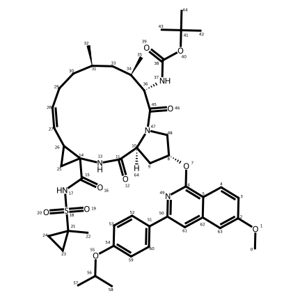 COc1ccc2c(O[C@@H]3C[C@H]4C(=O)NC5(C(=O)NS(=O)(=O)C6(C)CC6)CC5/C=C\CC[C@@H](C)C[C@@H](C)[C@H](NC(=O)OC(C)(C)C)C(=O)N4C3)nc(-c3ccc(OC(C)C)cc3)cc2c1